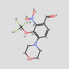 O=Cc1ccc(N2CCOCC2)c(OC(F)(F)F)c1[N+](=O)[O-]